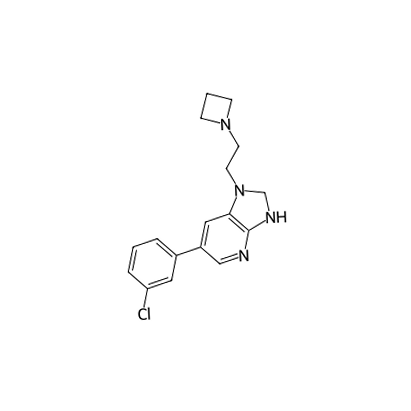 Clc1cccc(-c2cnc3c(c2)N(CCN2CCC2)CN3)c1